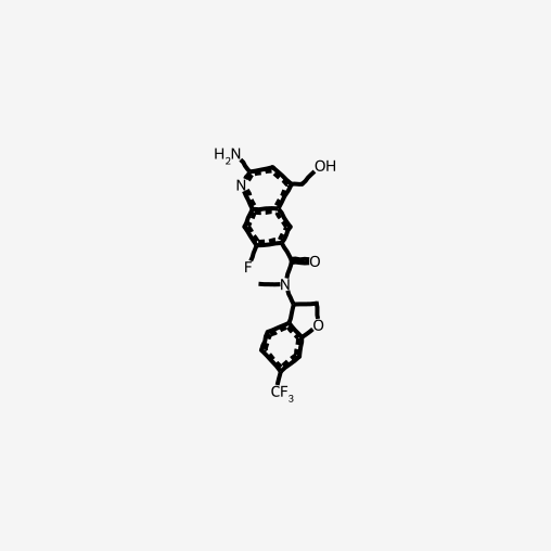 CN(C(=O)c1cc2c(CO)cc(N)nc2cc1F)C1COc2cc(C(F)(F)F)ccc21